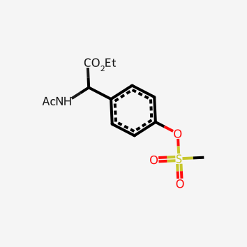 CCOC(=O)C(NC(C)=O)c1ccc(OS(C)(=O)=O)cc1